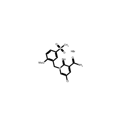 Br.COc1ccc(S(C)(=O)=O)cc1Cn1cc(Cl)cc(C(N)=O)c1=N